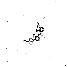 CCCC1CCC(c2cccc(C(F)C(F)c3cccc(OCC)c3F)c2F)CO1